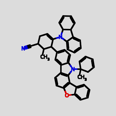 CC1C(C#N)CC=C(N2c3ccccc3C3C=CC=CC32)C1c1ccc2c(c1)c1ccc3oc4ccccc4c3c1n2C1(C)C=CC=CC1